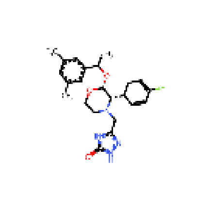 CC(O[C@H]1OCCN(Cc2n[nH]c(=O)[nH]2)[C@H]1C1C=CC(F)=CC1)c1cc(C(F)(F)F)cc(C(F)(F)F)c1